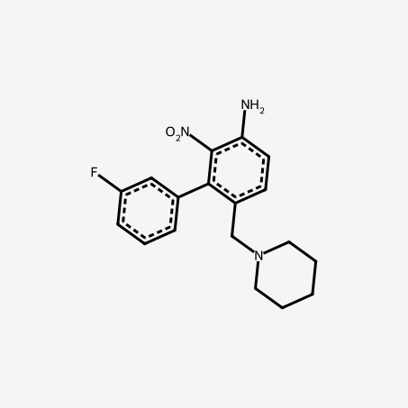 Nc1ccc(CN2CCCCC2)c(-c2cccc(F)c2)c1[N+](=O)[O-]